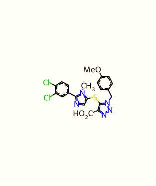 COc1ccc(Cn2nnc(C(=O)O)c2Sc2cnc(-c3ccc(Cl)c(Cl)c3)n2C)cc1